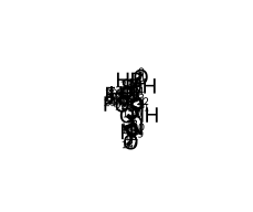 COBNC1=N[C@@]2(c3cc(NC(=O)c4cnc(OC)cn4)ccc3F)CO[C@H](C(F)F)[C@H]2CS1